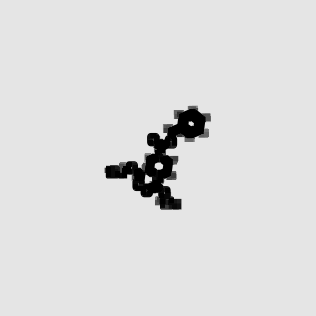 CC(C)(C)OC(=O)[C@@H]1CN(C(=O)OCc2ccccc2)CCN1C(=O)OC(C)(C)C